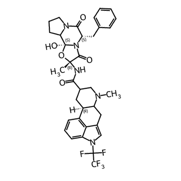 CN1CC(C(=O)N[C@]2(C)O[C@@]3(O)C4CCCN4C(=O)[C@H](Cc4ccccc4)N3C2=O)C[C@@H]2c3cccc4c3c(cn4C(F)(F)C(F)(F)F)CC21